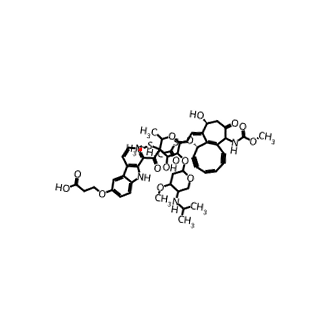 COC(=O)NC1C(=O)C[C@H](O)/C(=C/CSC(C)=O)C2=C1C#C/C=C\C#C[C@@H]2OC1OC(C)C(SC)(C(=O)c2nccc3c2[nH]c2ccc(OCCC(=O)O)cc23)C(O)C1OC1CC(OC)C(NC(C)C)CO1